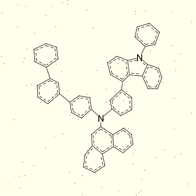 c1ccc(-c2cccc(-c3ccc(N(c4cccc(-c5cccc6c5c5ccccc5n6-c5ccccc5)c4)c4cc5ccccc5c5ccccc45)cc3)c2)cc1